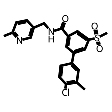 Cc1ccc(CNC(=O)c2cc(-c3ccc(Cl)c(C)c3)cc(S(C)(=O)=O)c2)cn1